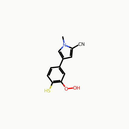 Cn1cc(-c2ccc(S)c(OO)c2)cc1C#N